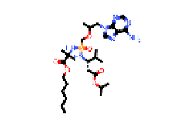 CCCCCCOC(=O)C(C)(C)NP(=O)(COC(C)Cn1cnc2c(N)ncnc21)N[C@@H](CC(=O)OC(C)C)C(C)C